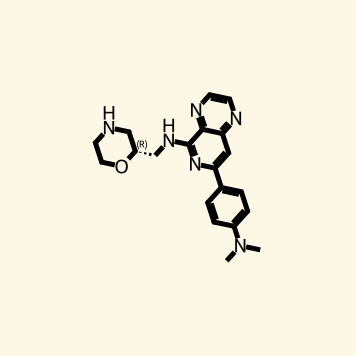 CN(C)c1ccc(-c2cc3nccnc3c(NC[C@H]3CNCCO3)n2)cc1